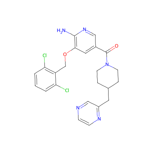 Nc1ncc(C(=O)N2CCC(Cc3cnccn3)CC2)cc1OCc1c(Cl)cccc1Cl